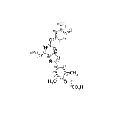 CCCOc1nc(Oc2ccc(Cl)c(C(F)(F)F)c2)nc2oc(-c3cc(C)c(OCC(=O)O)c(C)c3)nc12